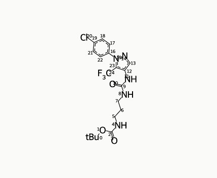 CC(C)(C)OC(=O)NCCCNC(=O)Nc1cnn(-c2ccc(Cl)cc2)c1C(F)(F)F